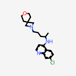 CC(CCCN1CC2(CCOCC2)C1)Nc1ccnc2cc(Cl)ccc12